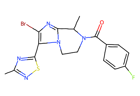 Cc1nsc(-c2c(Br)nc3n2CCN(C(=O)c2ccc(F)cc2)C3C)n1